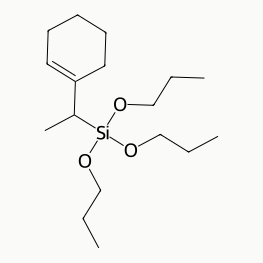 CCCO[Si](OCCC)(OCCC)C(C)C1=CCCCC1